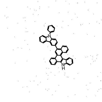 c1ccc(-n2c3ccccc3c3cc(-c4cc5c6ccccc6c6[nH]c7ccccc7c6c5c5ccccc45)ccc32)cc1